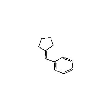 [c]1ccc(C=C2CCCC2)cc1